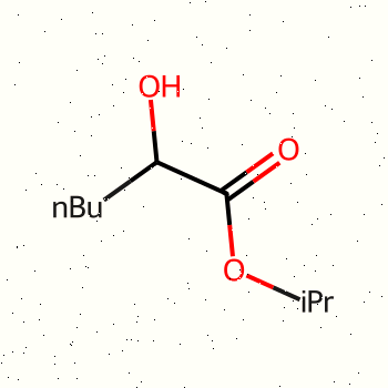 CCCCC(O)C(=O)OC(C)C